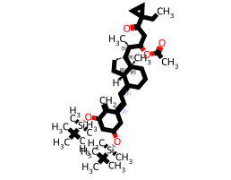 C=C1/C(=C\C=C2/CCC[C@]3(C)[C@@H]([C@H](C)C(CC(=O)C4(CC)CC4)OC(C)=O)CC[C@@H]23)CC(O[Si](C)(C)C(C)(C)C)CC1O[Si](C)(C)C(C)(C)C